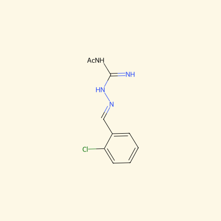 CC(=O)NC(=N)NN=Cc1ccccc1Cl